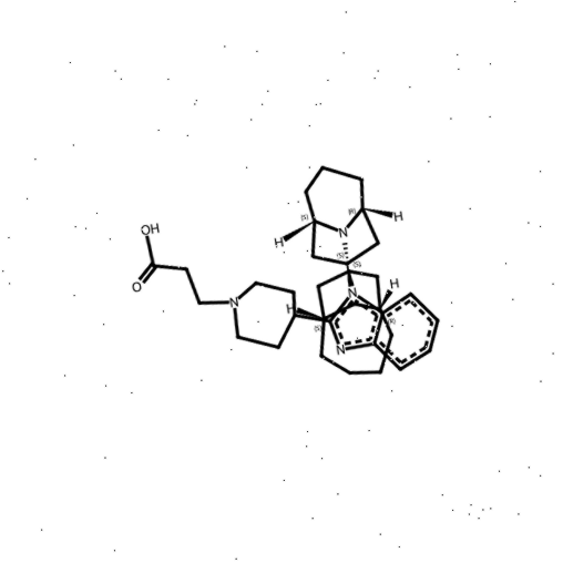 O=C(O)CCN1CCC(c2nc3ccccc3n2[C@@H]2C[C@H]3CCC[C@@H](C2)N3[C@@H]2C[C@@H]3CCCC[C@@H](C3)C2)CC1